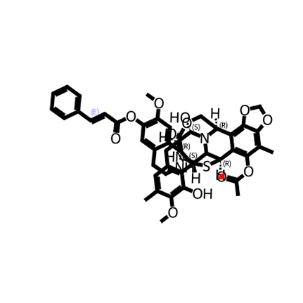 COc1cc2c(cc1OC(=O)/C=C/c1ccccc1)CCN[C@]21CS[C@@H]2c3c(OC(C)=O)c(C)c4c(c3[C@H](COC1=O)N1C2[C@H]2N[C@@H](Cc3cc(C)c(OC)c(O)c32)[C@@H]1O)OCO4